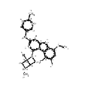 CNc1cc(F)c(F)c2c1[nH]c1nc(Oc3cnc(C)nc3)nc(N3CC4[C@H](N)C[C@@H]43)c12